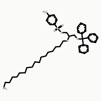 CCCCCCCCCCCCCCCCCCOC(COC(c1ccccc1)(c1ccccc1)c1ccccc1)COS(=O)(=O)c1ccc(C)cc1